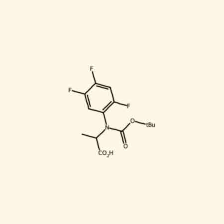 CC(C(=O)O)N(C(=O)OC(C)(C)C)c1cc(F)c(F)cc1F